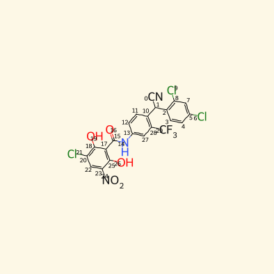 N#CC(c1ccc(Cl)cc1Cl)c1ccc(NC(=O)c2c(O)c(Cl)cc([N+](=O)[O-])c2O)cc1C(F)(F)F